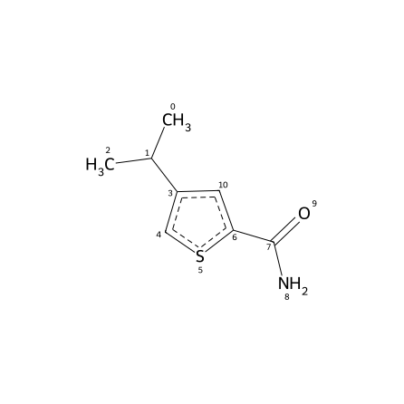 CC(C)c1csc(C(N)=O)c1